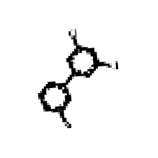 Clc1cc(Cl)cc(-c2cccc(Br)c2)c1